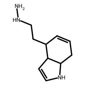 NNCCC1C=CCC2NC=CC12